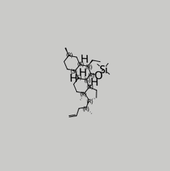 C=CC[C@@H](C)[C@H]1CC[C@H]2[C@@H]3[C@H](O[Si](C)(C)C)[C@H](CC)[C@@H]4C[C@H](C)CC[C@]4(C)[C@H]3CC[C@]12C